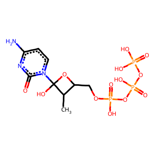 CC1C(COP(=O)(O)OP(=O)(O)OP(=O)(O)O)OC1(O)n1ccc(N)nc1=O